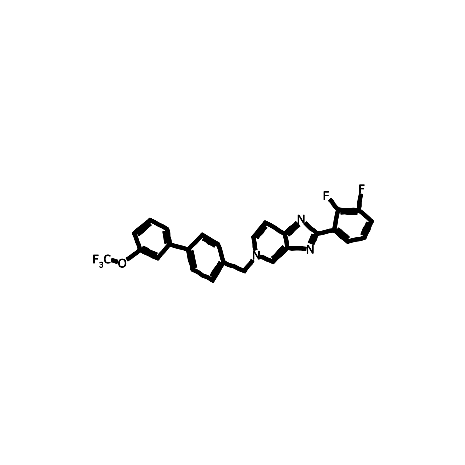 Fc1cccc(-c2nc3ccn(Cc4ccc(-c5cccc(OC(F)(F)F)c5)cc4)cc-3n2)c1F